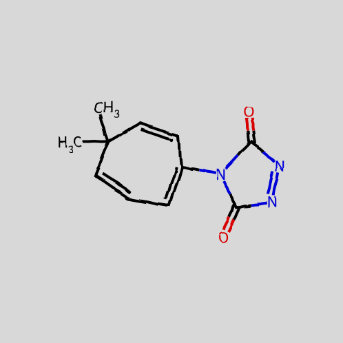 CC1(C)C=CC=C(N2C(=O)N=NC2=O)C=C1